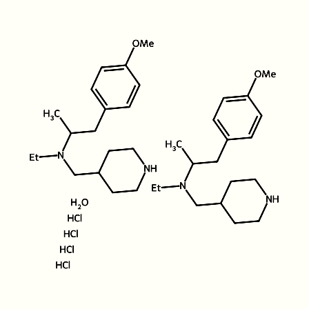 CCN(CC1CCNCC1)C(C)Cc1ccc(OC)cc1.CCN(CC1CCNCC1)C(C)Cc1ccc(OC)cc1.Cl.Cl.Cl.Cl.O